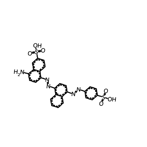 Nc1ccc(/N=N/c2ccc(/N=N/c3ccc(S(=O)(=O)O)cc3)c3ccccc23)c2ccc(S(=O)(=O)O)cc12